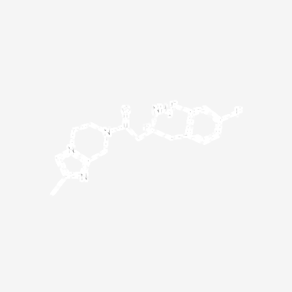 Cc1cn2c(n1)CN(C(=O)C[C@H](N)Cc1ccc(F)cc1F)CC2